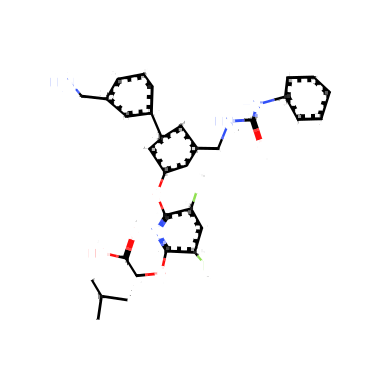 CC(C)C[C@@H](Oc1nc(Oc2cc(CNC(=O)Nc3ccccc3)cc(-c3cccc(CN)c3)c2)c(F)cc1F)C(=O)O